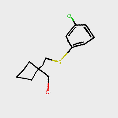 [O]CC1(CSc2cccc(Cl)c2)CCC1